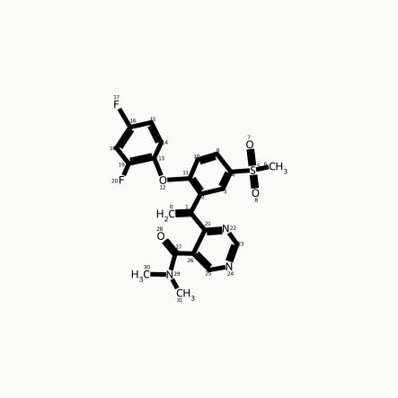 C=C(c1cc(S(C)(=O)=O)ccc1Oc1ccc(F)cc1F)c1ncncc1C(=O)N(C)C